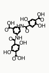 O=C(O)c1cc(NC(=O)c2cc(O)c(C(=O)O)cc2O)cc(NC(=O)c2cc(O)c(C(=O)O)cc2O)c1